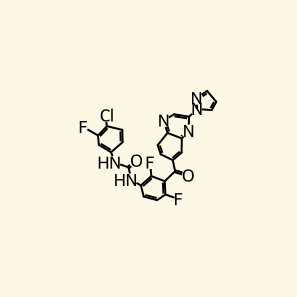 O=C(Nc1ccc(Cl)c(F)c1)Nc1ccc(F)c(C(=O)c2ccc3ncc(-n4cccn4)nc3c2)c1F